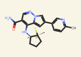 C[C@]1(F)CCC[C@H]1Nc1c(C(N)=O)cnn2cc(-c3ccc(C#N)nc3)cc12